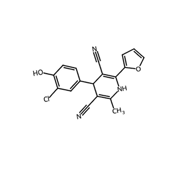 CC1=C(C#N)C(c2ccc(O)c(Cl)c2)C(C#N)=C(c2ccco2)N1